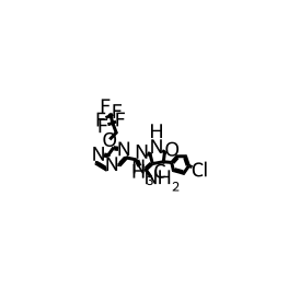 CC1(c2ccc(Cl)cc2)C(=O)Nc2nc(-c3cn4ccnc4c(OCC(F)(F)C(F)(F)F)n3)nc(N)c21